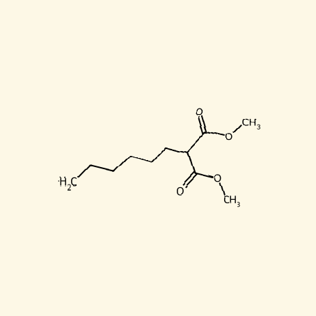 [CH2]CCCCCC(C(=O)OC)C(=O)OC